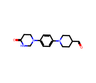 O=CC1CCN(c2ccc(N3CCC(=O)NC3)cc2)CC1